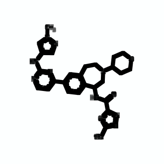 Cn1cc(Nc2nccc(-c3ccc4c(c3)CCN(C3CCOCC3)CC4NC(=O)c3nnc(C(C)(C)C)o3)n2)cn1